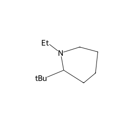 CCN1CCCCC1C(C)(C)C